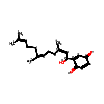 CC(C)=CCCC(C)=CCCC(C)=CC(O)C1=CC(=O)C=CC1=O